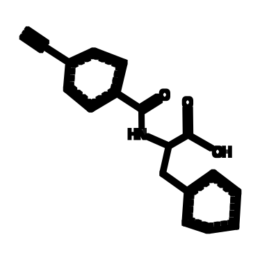 C#Cc1ccc(C(=O)NC(Cc2ccccc2)C(=O)O)cc1